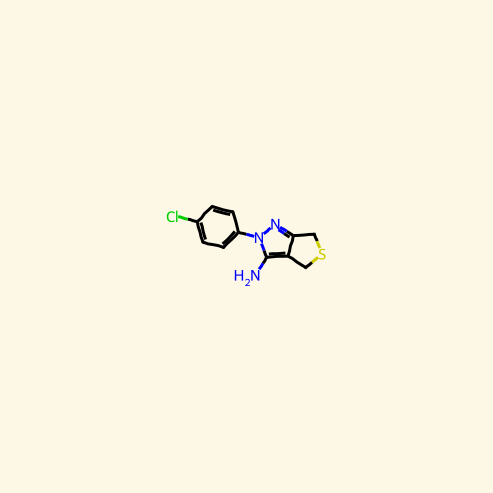 Nc1c2c(nn1-c1ccc(Cl)cc1)CSC2